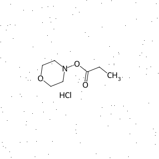 CCC(=O)ON1CCOCC1.Cl